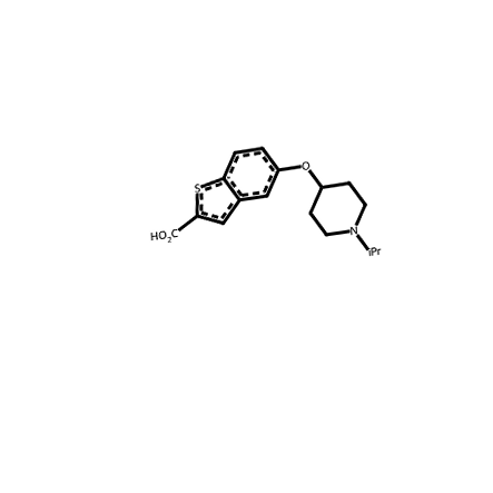 CC(C)N1CCC(Oc2ccc3sc(C(=O)O)cc3c2)CC1